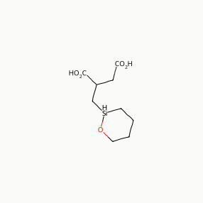 O=C(O)CC(C[SiH]1CCCCO1)C(=O)O